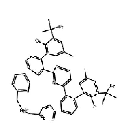 Cc1cc(-c2ccccc2-c2cccc(-c3ccccc3-c3cc(C)cc(C(C)(C)C(C)C)c3[O-])n2)c([O-])c(C(C)(C)C(C)C)c1.c1ccc([CH2][Hf+2][CH2]c2ccccc2)cc1